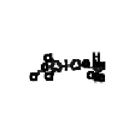 CC(C)(c1ccc(OCc2[nH]ncc2S(C)(=O)=O)cc1)c1cc(Cl)c(OCCCl)c(Cl)c1